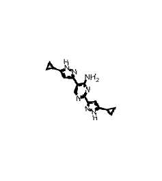 Nc1nc(-c2cc(C3CC3)[nH]n2)ncc1-c1cc(C2CC2)[nH]n1